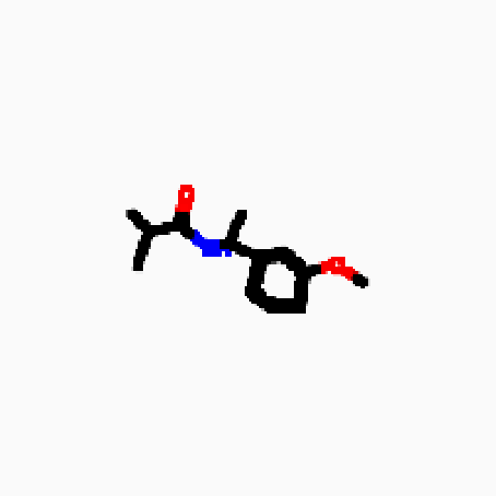 COc1cccc(C(C)NC(=O)C(C)C)c1